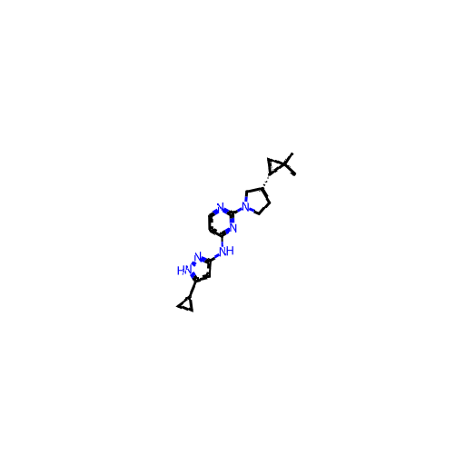 CC1(C)C[C@H]1C1CCN(c2nccc(Nc3cc(C4CC4)[nH]n3)n2)C1